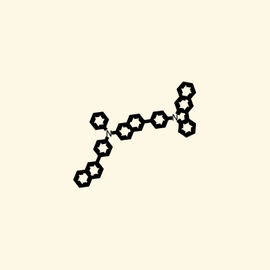 c1ccc(N(c2ccc(-c3ccc4ccccc4c3)cc2)c2ccc3cc(-c4ccc(-n5c6ccccc6c6cc7ccccc7cc65)cc4)ccc3c2)cc1